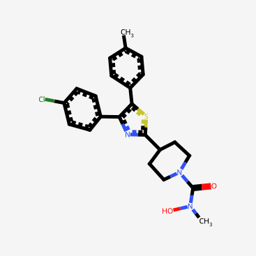 Cc1ccc(-c2sc(C3CCN(C(=O)N(C)O)CC3)nc2-c2ccc(Cl)cc2)cc1